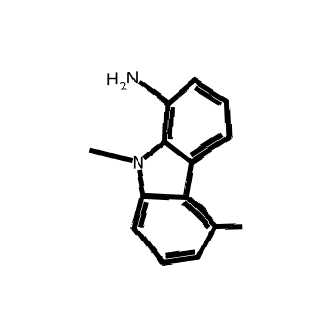 Cc1cccc2c1c1cccc(N)c1n2C